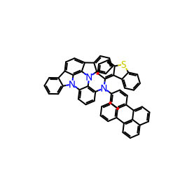 c1ccc(-c2cccc3cccc(-c4ccc(N(c5cccc6sc7ccccc7c56)c5cccc6c5n5c7ccccc7c7ccc8c9ccccc9n6c8c75)cc4)c23)cc1